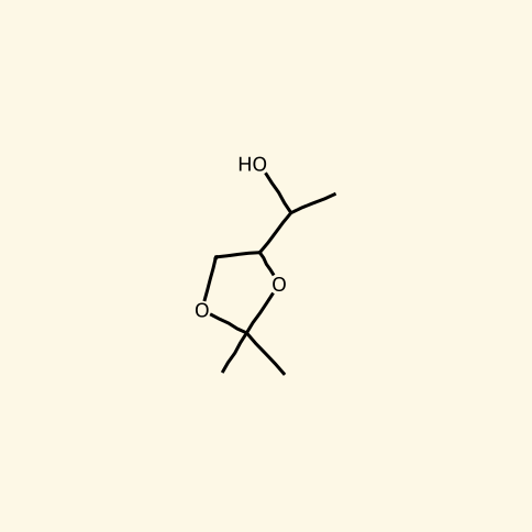 CC(O)C1COC(C)(C)O1